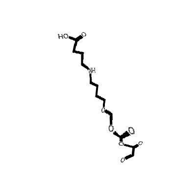 O=CC(=O)OC(=O)OCOCCCCNCCCC(=O)O